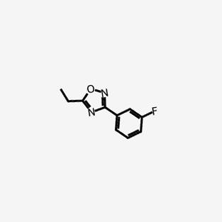 CCc1nc(-c2cccc(F)c2)no1